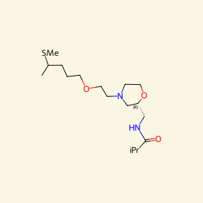 CSC(C)CCCOCCN1CCO[C@H](CNC(=O)C(C)C)C1